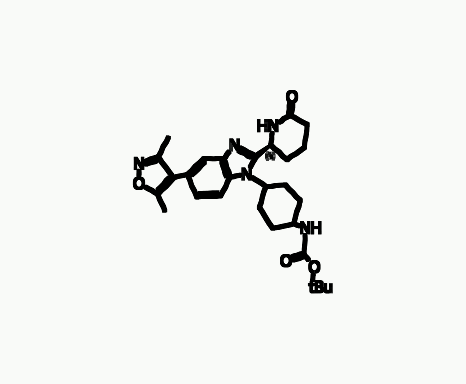 Cc1noc(C)c1-c1ccc2c(c1)nc([C@@H]1CCCC(=O)N1)n2C1CCC(NC(=O)OC(C)(C)C)CC1